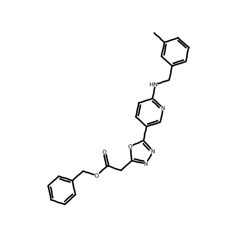 Cc1cccc(CNc2ccc(-c3nnc(CC(=O)OCc4ccccc4)o3)cn2)c1